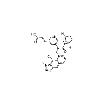 Cn1ncc2cc3cccc(CN(C(=O)C4C[C@H]5CC[C@@H]4C5)c4cncc(/C=C/C(=O)O)c4)c3c(Cl)c21